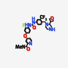 CNC(=O)c1cc(Oc2ccc(NC(=O)Nc3ccc(CN4CCNCC4C4COC4)c(C(F)(F)F)c3)c(F)c2)ccn1